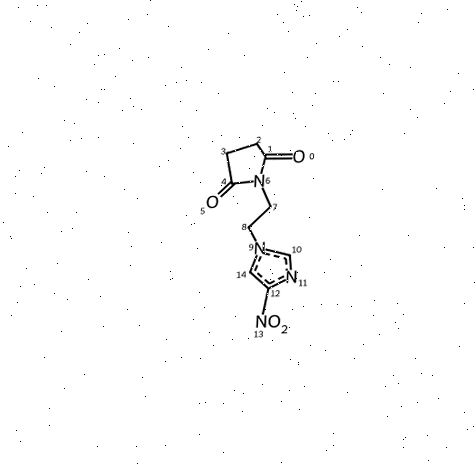 O=C1CCC(=O)N1CCn1cnc([N+](=O)[O-])c1